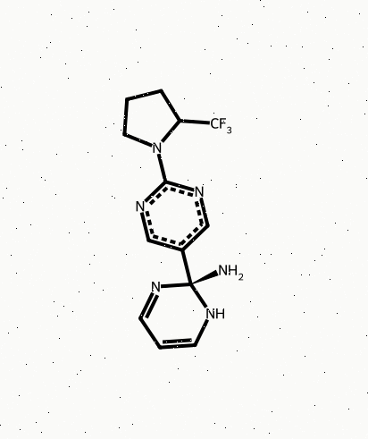 N[C@]1(c2cnc(N3CCCC3C(F)(F)F)nc2)N=CC=CN1